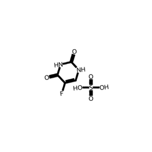 O=S(=O)(O)O.O=c1[nH]cc(F)c(=O)[nH]1